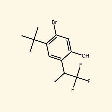 CC(c1cc(C(C)(C)C)c(Br)cc1O)C(F)(F)F